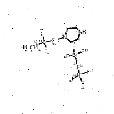 C.CN1CCNCC1.F[B-](F)(F)F.F[B-](F)(F)F.F[B-](F)(F)F.[KH]